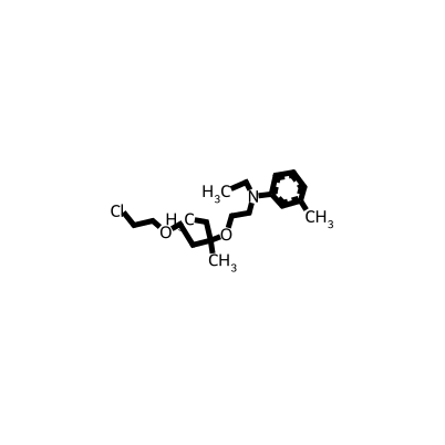 CCN(CCOC(C)(CC)CCOCCCl)c1cccc(C)c1